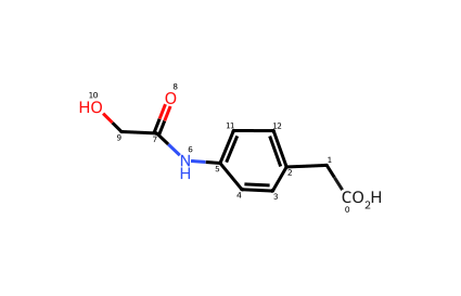 O=C(O)Cc1ccc(NC(=O)CO)cc1